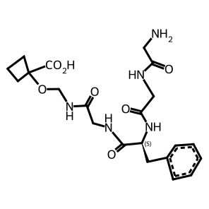 NCC(=O)NCC(=O)N[C@@H](Cc1ccccc1)C(=O)NCC(=O)NCOC1(C(=O)O)CCC1